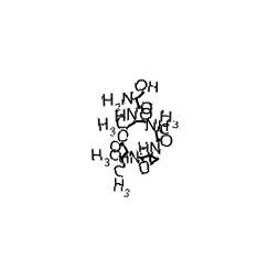 CC[C@H](C)[C@@H]1NC(=O)C2(CC2)NC(=O)[C@H](C)NC(=O)[C@H](NC(=O)[C@@H](N)CO)[C@H](C)OC1=O